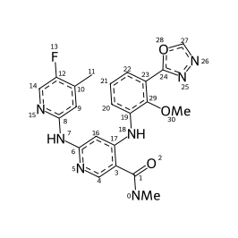 CNC(=O)c1cnc(Nc2cc(C)c(F)cn2)cc1Nc1cccc(-c2nnco2)c1OC